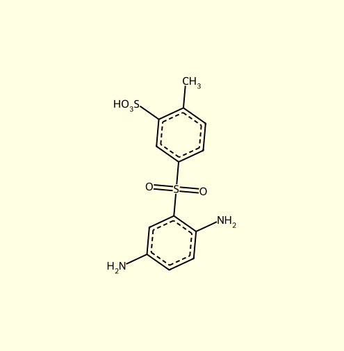 Cc1ccc(S(=O)(=O)c2cc(N)ccc2N)cc1S(=O)(=O)O